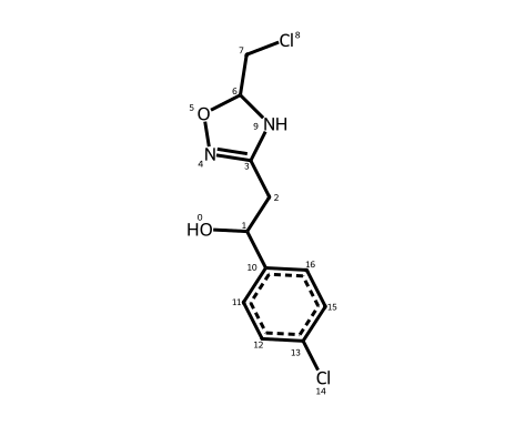 OC(CC1=NOC(CCl)N1)c1ccc(Cl)cc1